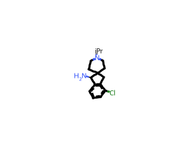 CC(C)N1CCC2(CC1)Cc1c(Cl)cccc1[C@H]2N